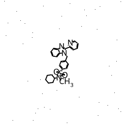 CN(C1CCCCC1)S(=O)(=O)c1ccc(Cn2c(-c3ccccn3)nc3ccccc32)cc1